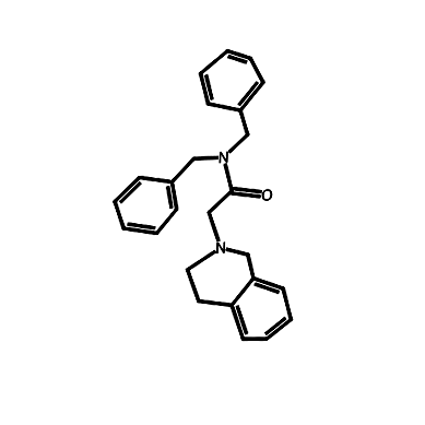 O=C(CN1CCc2ccccc2C1)N(Cc1ccccc1)Cc1ccccc1